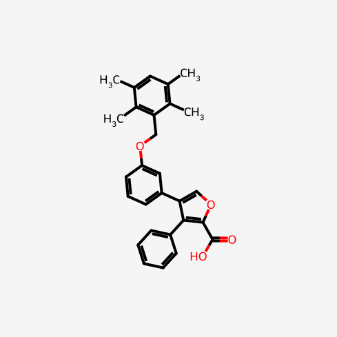 Cc1cc(C)c(C)c(COc2cccc(-c3coc(C(=O)O)c3-c3ccccc3)c2)c1C